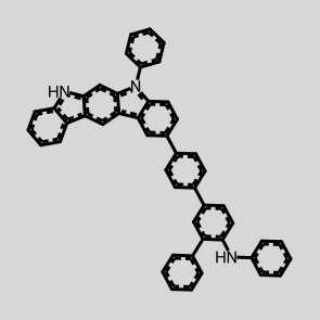 c1ccc(Nc2ccc(-c3ccc(-c4ccc5c(c4)c4cc6c(cc4n5-c4ccccc4)[nH]c4ccccc46)cc3)cc2-c2ccccc2)cc1